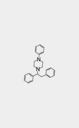 c1ccc(CC(c2ccccc2)N2CCN(c3ccccc3)CC2)cc1